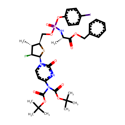 C[C@H]1[C@H](F)[C@H](n2ccc(N(C(=O)OC(C)(C)C)C(=O)OC(C)(C)C)nc2=O)S[C@@H]1COP(=O)(N[C@@H](C)C(=O)OCc1ccccc1)Oc1ccc(I)cc1